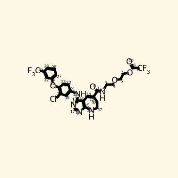 O=C(NCCOCCOC(=O)C(F)(F)F)C1=Cc2c(ncnc2Nc2ccc(Oc3cccc(C(F)(F)F)c3)c(Cl)c2)NCC1